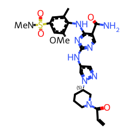 C=CC(=O)N1CCC[C@H](n2cc(Nc3ncc(C(N)=O)c(Nc4c(C)cc(S(=O)(=O)NC)cc4OC)n3)cn2)C1